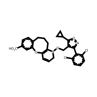 O=C(O)c1ccc2c(c1)OC1=C(CCC2)N(OCc2c(-c3c(Cl)cccc3Cl)noc2C2CC2)CC=C1